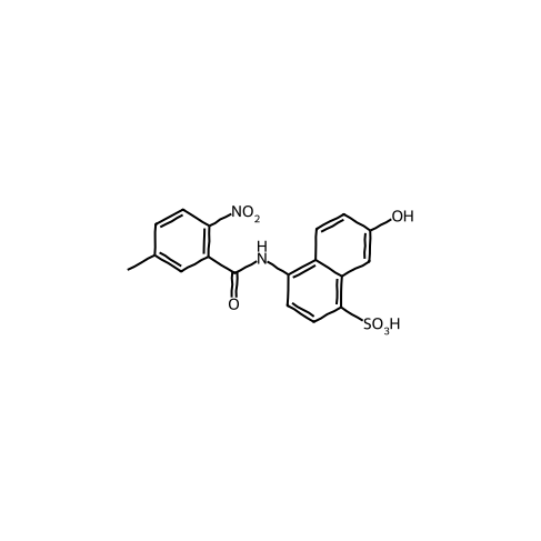 Cc1ccc([N+](=O)[O-])c(C(=O)Nc2ccc(S(=O)(=O)O)c3cc(O)ccc23)c1